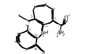 CCc1cccc(C(N)=O)c1Nc1c(C)cccc1C